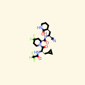 N#C[C@H](C[C@@H]1CCCNC1=O)NC(=O)[C@@H]1CC(F)(F)CCN1C(=O)[C@H](CC1CC1)NC(=O)C(F)(F)F